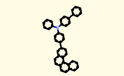 c1ccc(-c2ccc(N(c3ccccc3)c3ccc(-c4ccc5c(ccc6ccc7ccccc7c65)c4)cc3)cc2)cc1